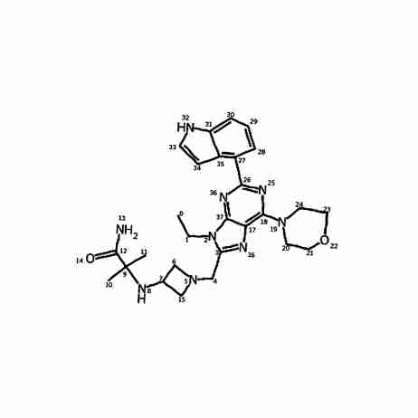 CCn1c(CN2CC(NC(C)(C)C(N)=O)C2)nc2c(N3CCOCC3)nc(-c3cccc4[nH]ccc34)nc21